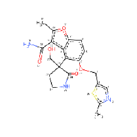 Cc1ncc(COc2ccc3oc(C)c(C(N)=O)c3c2C2(CO)CCNC2=O)s1